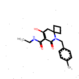 O=C(O)CNC(=O)C1=C(O)CC2(CCC2)N(Cc2ccc(C(F)(F)F)cc2)C1=O